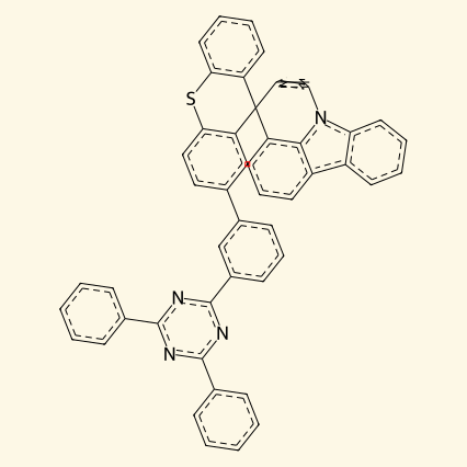 c1ccc(-c2nc(-c3ccccc3)nc(-c3cccc(-c4ccc5c(c4)C4(c6ccccc6S5)c5ccccc5-n5c6ccccc6c6cccc4c65)c3)n2)cc1